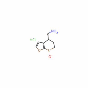 Cl.NC[C@H]1CC[S@+]([O-])c2sccc21